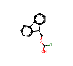 OC(Cl)OCC1c2ccccc2-c2ccccc21